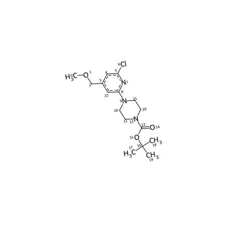 COCc1cc(Cl)nc(N2CCN(C(=O)OC(C)(C)C)CC2)c1